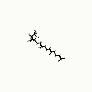 CC(C)=CCC/C(C)=C/CC/C(C)=C/CC1SC(=O)C(C)=C1O